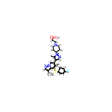 Cc1c(-c2cc(Sc3ccc(F)cc3C#N)c3c(C#N)cnn3c2)cnn1C1CCN([C@@H](C)CO)CC1